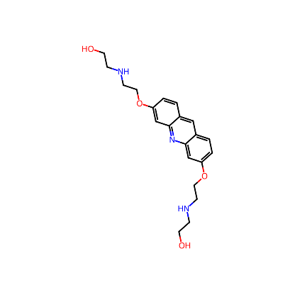 OCCNCCOc1ccc2cc3ccc(OCCNCCO)cc3nc2c1